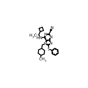 CC1CCC(Cn2c(Sc3ccccc3)nc3nc(C#N)nc(N[C@H](C)C4CCC4)c32)CC1